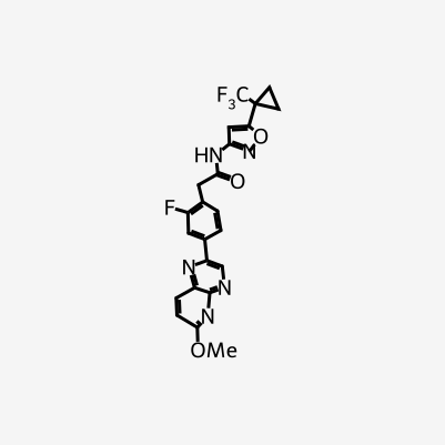 COc1ccc2nc(-c3ccc(CC(=O)Nc4cc(C5(C(F)(F)F)CC5)on4)c(F)c3)cnc2n1